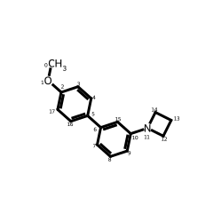 COc1ccc(-c2cccc(N3CCC3)c2)cc1